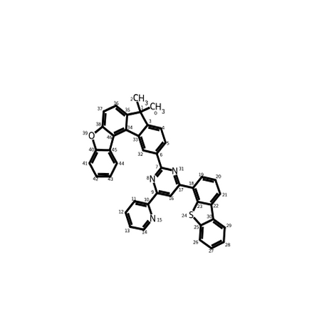 CC1(C)c2ccc(-c3nc(-c4ccccn4)cc(-c4cccc5c4sc4ccccc45)n3)cc2-c2c1ccc1oc3ccccc3c21